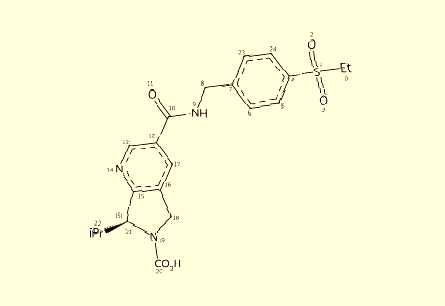 CCS(=O)(=O)c1ccc(CNC(=O)c2cnc3c(c2)CN(C(=O)O)[C@H]3C(C)C)cc1